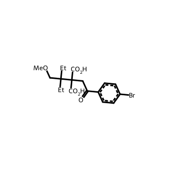 CCC(CC)(COC)C(CC(=O)c1ccc(Br)cc1)(C(=O)O)C(=O)O